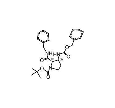 CC(C)(C)OC(=O)N1CC[C@H](NC(=O)OCc2ccccc2)[C@@H]1C(=O)NCc1ccccc1